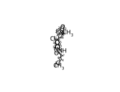 CCOC1CC2(C1)CC2C(=O)Nc1cc2cc(C3CCN(C4(C)COCC4F)CC3)c(Cl)cc2cn1